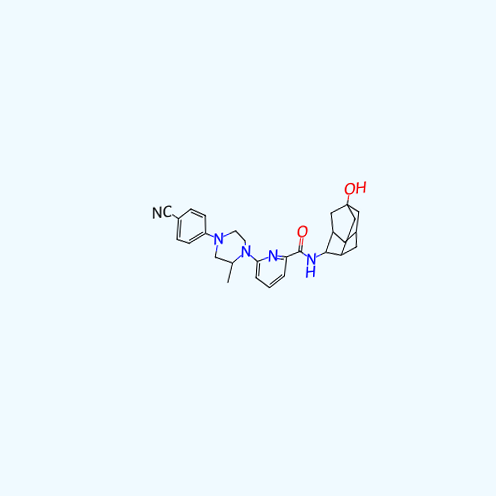 CC1CN(c2ccc(C#N)cc2)CCN1c1cccc(C(=O)NC2C3CC4CC2CC(O)(C4)C3)n1